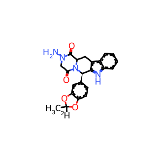 [2H]C1(C)Oc2ccc([C@@H]3c4[nH]c5ccccc5c4CC4C(=O)N(N)CC(=O)N43)cc2O1